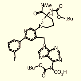 CNC(=O)C1(NC(=O)OC(C)(C)C)CCCN(c2cnc(-c3cccc(F)c3)cc2Cn2cnc3c(N(C(=O)O)C(=O)OC(C)(C)C)ncnc32)C1